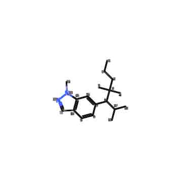 CCCC(C)(C)C(c1ccc2cnn(C)c2c1)C(C)C